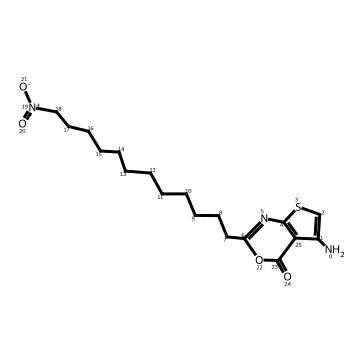 Nc1csc2nc(CCCCCCCCCCCC[N+](=O)[O-])oc(=O)c12